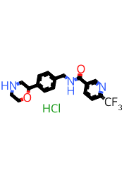 Cl.O=C(NCc1ccc(C2CNCCO2)cc1)c1ccc(C(F)(F)F)nc1